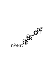 CCCCCC1COC(C2COC(CCc3ccc(OC(F)F)cc3)OC2)OC1